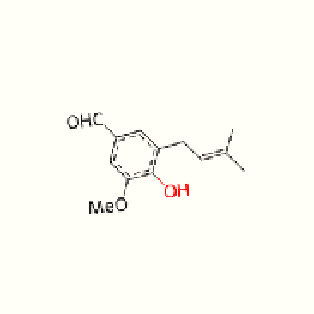 COc1cc(C=O)cc(CC=C(C)C)c1O